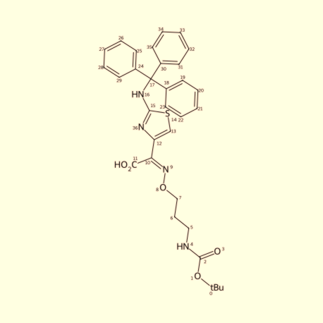 CC(C)(C)OC(=O)NCCCO/N=C(\C(=O)O)c1csc(NC(c2ccccc2)(c2ccccc2)c2ccccc2)n1